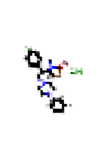 Cl.Cn1c(C(CN2CCN(c3ccccc3)CC2)c2ccc(F)cc2)csc1=O